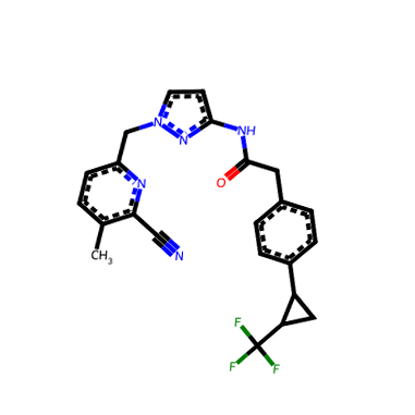 Cc1ccc(Cn2ccc(NC(=O)Cc3ccc(C4CC4C(F)(F)F)cc3)n2)nc1C#N